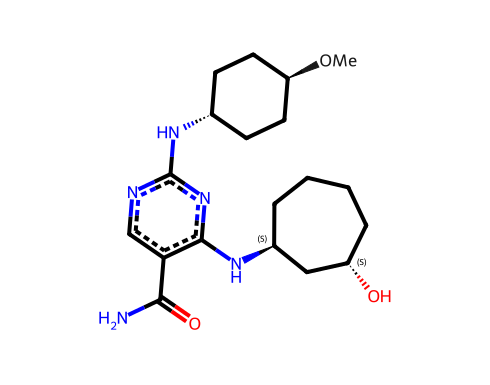 CO[C@H]1CC[C@H](Nc2ncc(C(N)=O)c(N[C@H]3CCCC[C@H](O)C3)n2)CC1